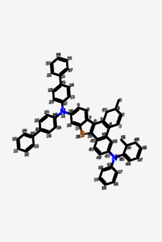 CC1C=Cc2c(c3c4ccc(N(c5ccc(-c6ccccc6)cc5)c5ccc(-c6ccccc6)cc5)cc4sc3c3ccc(N(C4=CC=CCC4C)c4ccccc4)cc23)C1